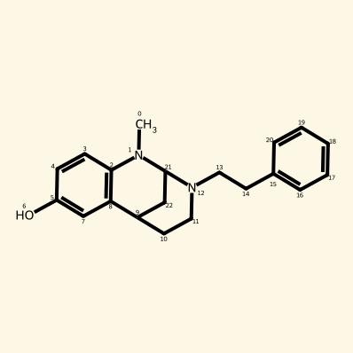 CN1c2ccc(O)cc2C2CCN(CCc3ccccc3)C1C2